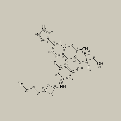 C[C@@H]1Cc2cc(-c3cn[nH]c3)ccc2[C@@H](c2c(F)cc(NC3CN(CCCF)C3)cc2F)N1CC(F)(F)CO